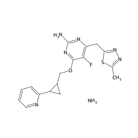 Cc1nnc(Cc2nc(N)nc(OCC3CC3c3ccccn3)c2F)s1.N